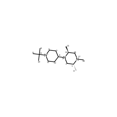 C[C@@H]1CN(C2CCN(C(C)(C)C)CC2)[C@@H](C)CN1C